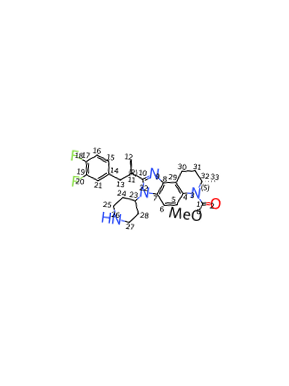 COC(=O)N1c2ccc3c(nc([C@H](C)Cc4ccc(F)c(F)c4)n3C3CCNCC3)c2CC[C@@H]1C